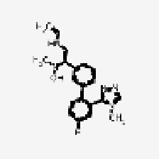 C=CN/C=C(/c1cccc(-c2ccc(F)cc2-c2nncn2C)c1)N(C)O